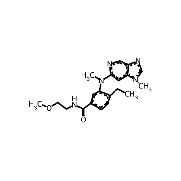 CCc1ccc(C(=O)NCCOC)cc1N(C)c1cc2c(cn1)ncn2C